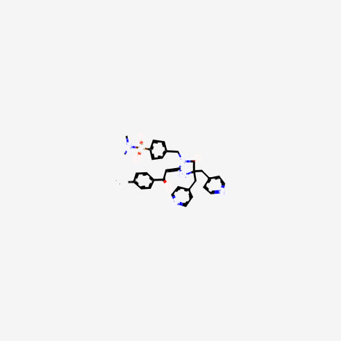 CN(C)S(=O)(=O)c1ccc(CN2C(=O)C(Cc3ccncc3)(Cc3ccncc3)NC2=CC(=O)c2ccc(C#N)cc2)cc1